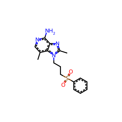 Cc1cnc(N)c2nc(C)n(CCCS(=O)(=O)c3ccccc3)c12